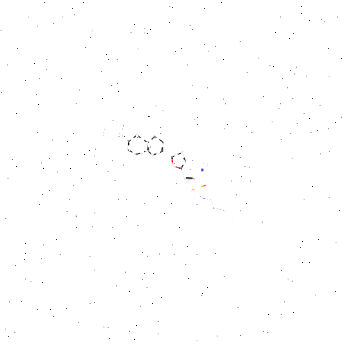 CCC(O)CNS(=O)(=O)/C(C#N)=C/c1ccc(-c2ccc3cc(N4CCOCC4)ccc3c2)o1